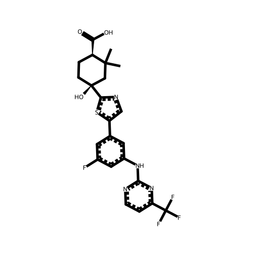 CC1(C)C[C@](O)(c2ncc(-c3cc(F)cc(Nc4nccc(C(F)(F)F)n4)c3)s2)CC[C@H]1C(=O)O